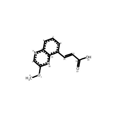 COc1cnc2cccc(/C=C/C(=O)O)c2n1